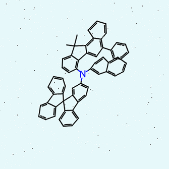 CC1(C)c2cccc(N(c3ccc4c(c3)C3(c5ccccc5-c5ccccc53)c3ccccc3-4)c3ccc4ccccc4c3)c2-c2cc(-c3ccccc3)c3ccccc3c21